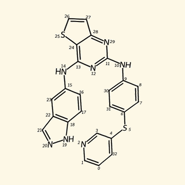 c1cncc(Sc2ccc(Nc3nc(Nc4ccc5[nH]ncc5c4)c4sccc4n3)cc2)c1